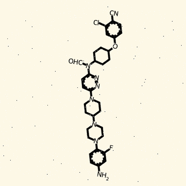 N#Cc1ccc(OC2CCC(N(C=O)c3ccc(N4CCC(N5CCN(c6ccc(N)cc6F)CC5)CC4)nn3)CC2)cc1Cl